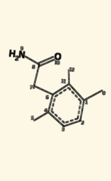 Cc1ccc(C)c([CH]C(N)=O)c1C